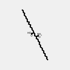 CCCCCCCCCCCCCCCCC(CCC(CCCCCCCCCCCCCCCC)C(=O)O)C(N)=O